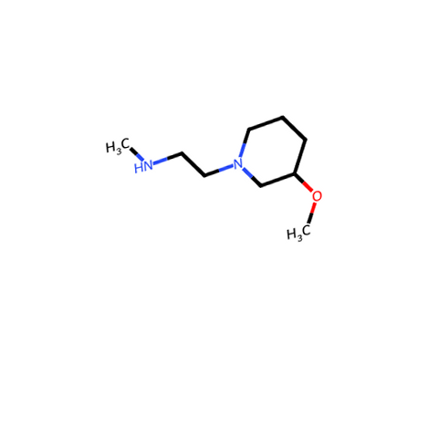 CNCCN1CCCC(OC)C1